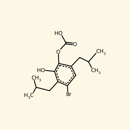 CC(C)Cc1cc(Br)c(CC(C)C)c(O)c1OC(=O)O